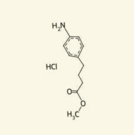 COC(=O)CCCc1ccc(N)cc1.Cl